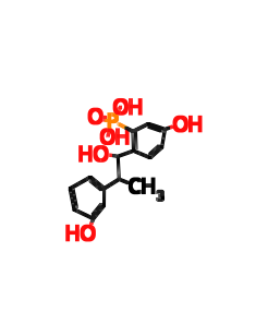 CC(c1cccc(O)c1)C(O)c1ccc(O)cc1P(=O)(O)O